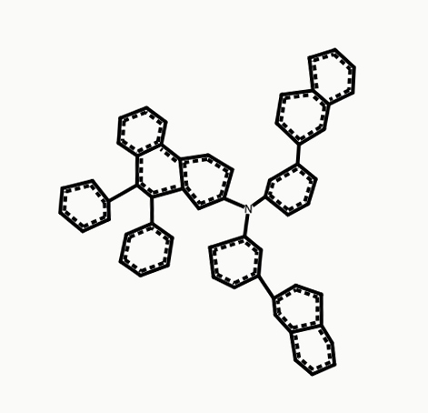 c1ccc(-c2c(-c3ccccc3)c3cc(N(c4cccc(-c5ccc6ccccc6c5)c4)c4cccc(-c5ccc6ccccc6c5)c4)ccc3c3ccccc23)cc1